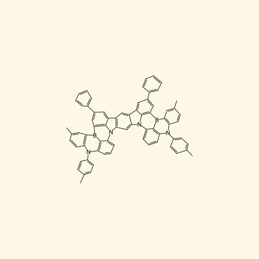 Cc1ccc(N2c3ccc(C)cc3B3c4c2cccc4-n2c4cc5c(cc4c4cc(-c6ccccc6)cc3c42)c2cc(-c3ccccc3)cc3c2n5-c2cccc4c2B3c2cc(C)ccc2N4c2ccc(C)cc2)cc1